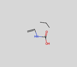 C=CNC(=O)O.CCC